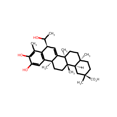 Cc1c(O)c(O)cc2c1[C@@H](C(C)O)C=C1[C@@]2(C)CC[C@@]2(C)[C@@H]3C[C@](C)(C(=O)O)CC[C@]3(C)CC[C@]12C